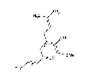 COc1cc(/C=C/C=O)cc(CC=C(C)C)c1O